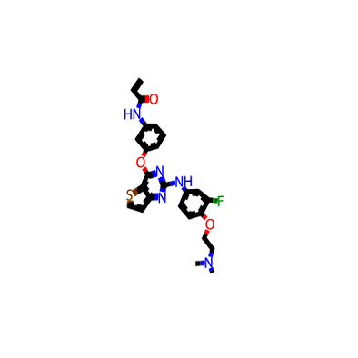 C=CC(=O)Nc1cccc(Oc2nc(Nc3ccc(OCCN(C)C)c(F)c3)nc3ccsc23)c1